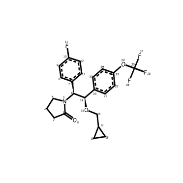 O=C1CCCN1[C@@H](c1ccc(F)cc1)[C@H](OCC1CC1)c1ccc(OC(F)(F)F)cc1